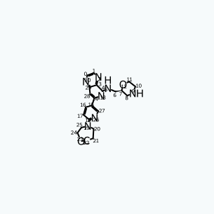 c1cnc2c(NC[C@@H]3CNCCO3)nc(-c3ccc(N4CCCOCC4)nc3)cc2n1